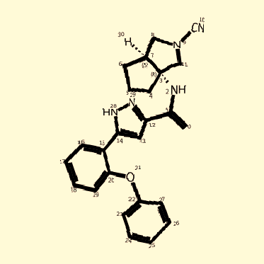 C=C(N[C@]12CCC[C@H]1CN(C#N)C2)c1cc(-c2ccccc2Oc2ccccc2)[nH]n1